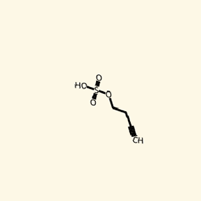 C#CCCOS(=O)(=O)O